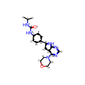 CC(C)NC(=O)Nc1ccc(-c2cc3c(N4CCOCC4)ncnc3[nH]2)cc1